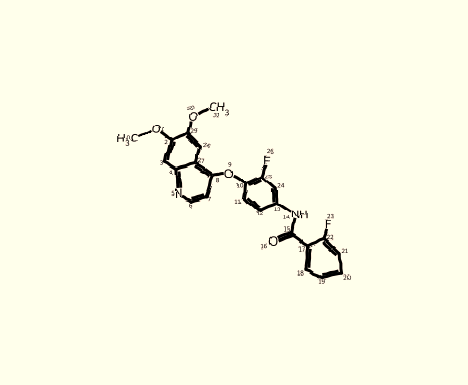 COc1cc2nccc(Oc3ccc(NC(=O)c4c[c]ccc4F)cc3F)c2cc1OC